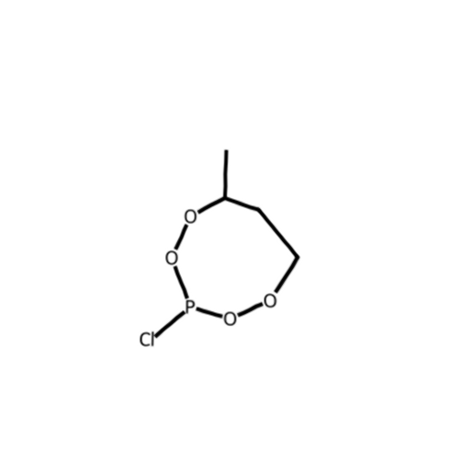 CC1CCOOP(Cl)OO1